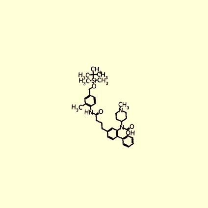 Cc1cc(CO[Si](C)(C)C(C)(C)C)ccc1NC(=O)CCCc1ccc(-c2ccccc2)c(N(C(=O)O)C2CCN(C)CC2)c1